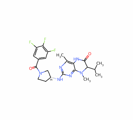 Cc1nc(N[C@@H]2CCN(C(=O)c3cc(F)c(F)c(F)c3)C2)nc2c1NC(=O)C(C(C)C)N2C